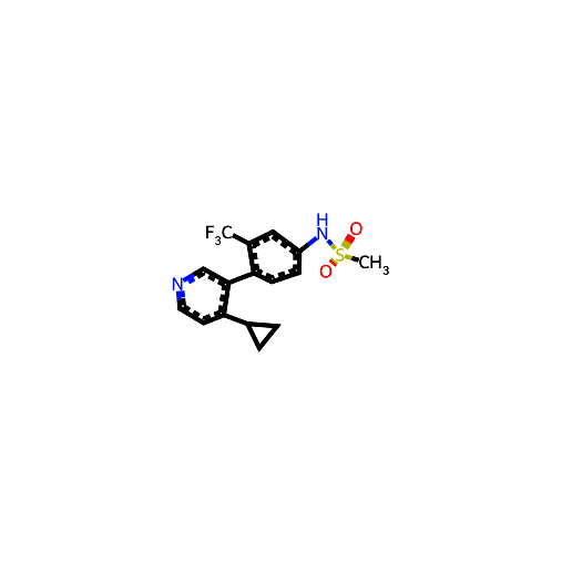 CS(=O)(=O)Nc1ccc(-c2cnccc2C2CC2)c(C(F)(F)F)c1